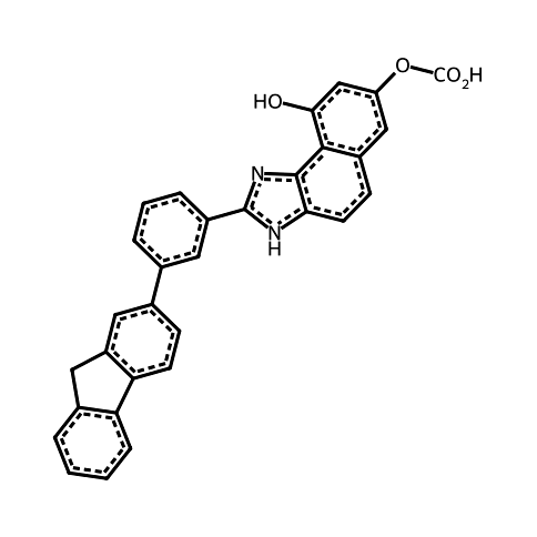 O=C(O)Oc1cc(O)c2c(ccc3[nH]c(-c4cccc(-c5ccc6c(c5)Cc5ccccc5-6)c4)nc32)c1